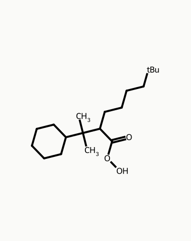 CC(C)(C)CCCCC(C(=O)OO)C(C)(C)C1CCCCC1